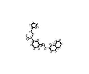 COC([CH]Cc1nccs1)c1cccc(OCc2ccc3ccccc3c2)c1